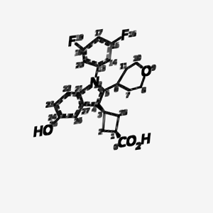 O=C(O)[C@H]1C[C@@H](c2c(C3CCOCC3)n(-c3cc(F)cc(F)c3)c3ccc(O)cc32)C1